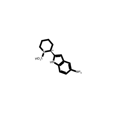 Nc1ccc2[nH]c([C@@H]3CCCCN3C(=O)O)cc2c1